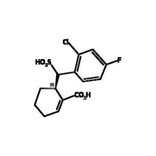 O=C(O)C1=CCCC[C@H]1C(c1ccc(F)cc1Cl)S(=O)(=O)O